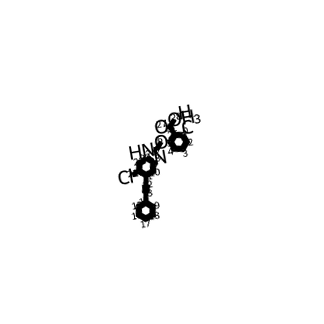 Cc1cccc(Oc2nc3cc(C#Cc4ccccc4)c(Cl)cc3[nH]2)c1C(=O)O